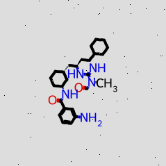 CN(C=O)C(=N)N[C@H](CCC1CCCCC1)C[C@H]1CCC[C@@H](NC(=O)c2cccc(N)c2)C1